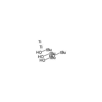 CC(C)(C)O.CC(C)(C)O.CC(C)(C)O.CC(C)(C)O.[Ti].[Ti]